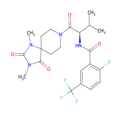 CC(C)[C@@H](NC(=O)c1cc(C(F)(F)F)ccc1F)C(=O)N1CCC2(CC1)C(=O)N(C)C(=O)N2C